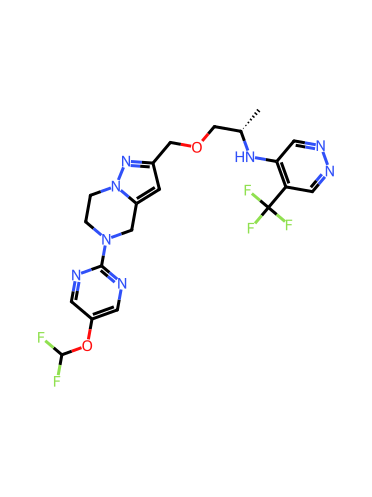 C[C@@H](COCc1cc2n(n1)CCN(c1ncc(OC(F)F)cn1)C2)Nc1cnncc1C(F)(F)F